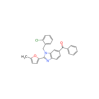 Cc1ccc(-c2nc3ccc(C(=O)c4ccccc4)cc3n2Cc2ccccc2Cl)o1